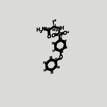 C[C@H](NS(=O)(=O)c1ccc(Oc2ccccc2)cc1)C(N)=O